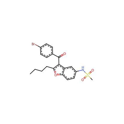 CCCCc1oc2ccc(NS(C)(=O)=O)cc2c1C(=O)c1ccc(Br)cc1